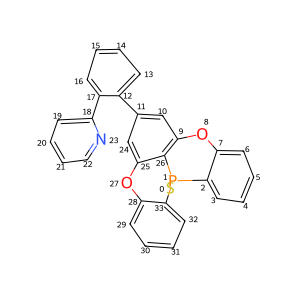 S=P12c3ccccc3Oc3cc(-c4ccccc4-c4ccccn4)cc(c31)Oc1ccccc12